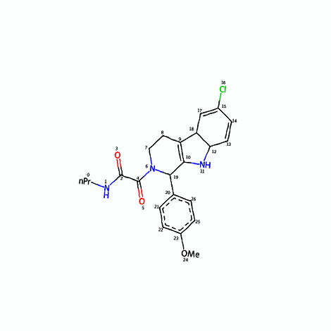 CCCNC(=O)C(=O)N1CCC2=C(NC3C=CC(Cl)=CC23)C1c1ccc(OC)cc1